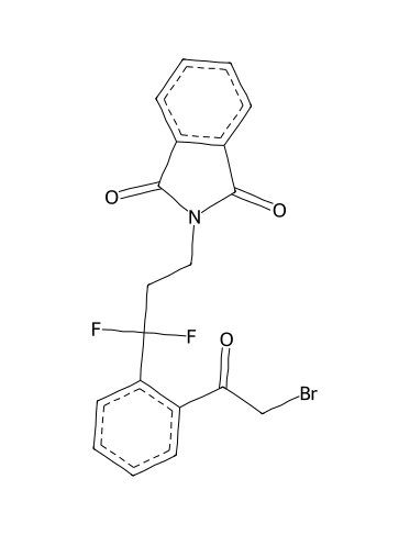 O=C(CBr)c1ccccc1C(F)(F)CCN1C(=O)c2ccccc2C1=O